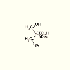 CC(=CCO)CCC[C@H](C)CCC[C@H](C)CCCC(C)C.CCCCCCCCCCCC(=O)O